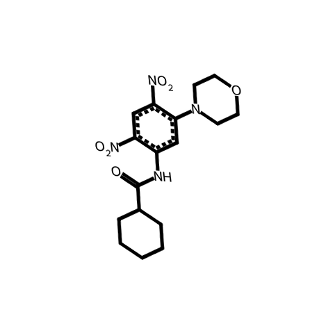 O=C(Nc1cc(N2CCOCC2)c([N+](=O)[O-])cc1[N+](=O)[O-])C1CCCCC1